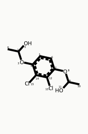 CC(O)Oc1ccc(OC(C)O)c(Cl)c1Cl